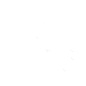 CC1(C)Cc2cc(NC(=O)c3cnn4cccnc34)c(N3CCC4(CC3)COC4)cc2O1